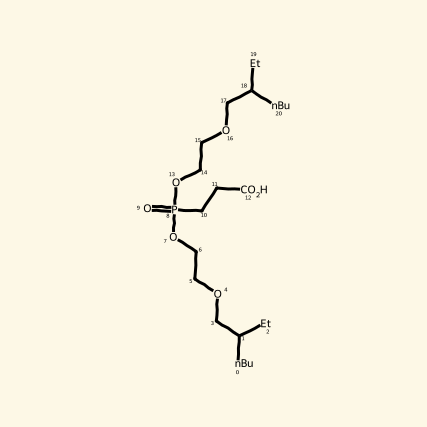 CCCCC(CC)COCCOP(=O)(CCC(=O)O)OCCOCC(CC)CCCC